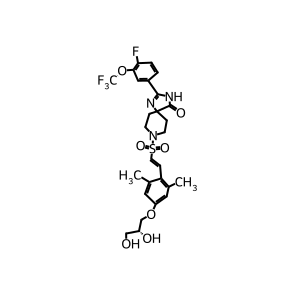 Cc1cc(OC[C@H](O)CO)cc(C)c1/C=C/S(=O)(=O)N1CCC2(CC1)N=C(c1ccc(F)c(OC(F)(F)F)c1)NC2=O